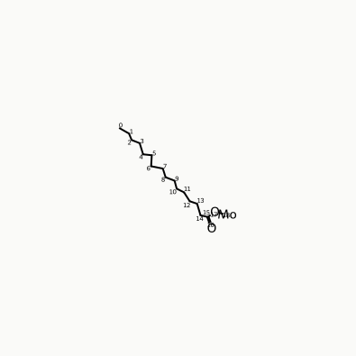 CCCCCCCCCCCCCCCC(=O)[O][Mo]